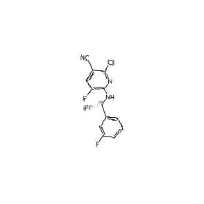 CC(C)[C@H](Nc1nc(Cl)c(C#N)cc1F)c1cccc(F)c1